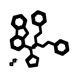 C1=CC[C]([Zr+2](=[C](CCc2ccccc2)CCc2ccccc2)[c]2cccc3c2Cc2ccccc2-3)=C1.[Cl-].[Cl-]